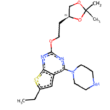 CCc1cc2c(N3CCNCC3)nc(OCC[C@H]3COC(C)(C)O3)nc2s1